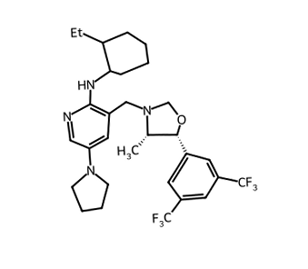 CCC1CCCCC1Nc1ncc(N2CCCC2)cc1CN1CO[C@H](c2cc(C(F)(F)F)cc(C(F)(F)F)c2)[C@@H]1C